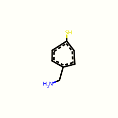 NCc1ccc(S)cc1